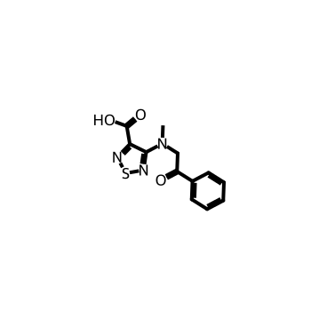 CN(CC(=O)c1ccccc1)c1nsnc1C(=O)O